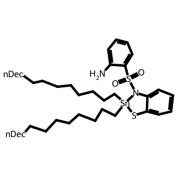 CCCCCCCCCCCCCCCCC[CH2][Sn]1([CH2]CCCCCCCCCCCCCCCCC)[S]c2ccccc2[N]1S(=O)(=O)c1ccccc1N